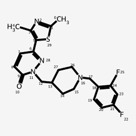 Cc1nc(C)c(-c2ccc(=O)n(CC3CCN(Cc4ccc(F)cc4F)CC3)n2)s1